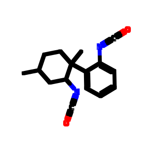 CC1CCC(C)(c2ccccc2N=C=O)C(N=C=O)C1